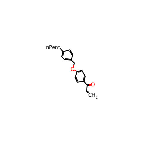 C=CC(=O)c1ccc(OCc2ccc(CCCCC)cc2)cc1